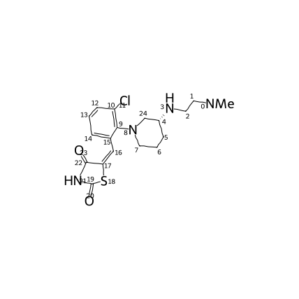 CNCCN[C@@H]1CCCN(c2c(Cl)cccc2C=C2SC(=O)NC2=O)C1